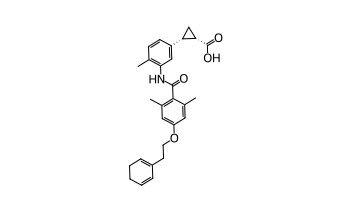 Cc1ccc([C@@H]2C[C@@H]2C(=O)O)cc1NC(=O)c1c(C)cc(OCCC2=CCCC=C2)cc1C